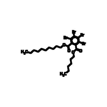 CCCCCCCCCCOC(=O)c1c(Br)c(Br)c(Br)c(Br)c1C(=O)OCCCCCC